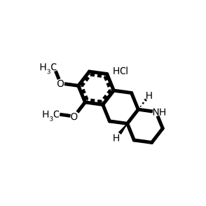 COc1ccc2c(c1OC)C[C@H]1CCCN[C@@H]1C2.Cl